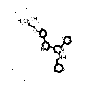 CN(C)CCOc1cccc(-c2cncc(-c3cc(NCc4ccccc4)nc(-c4ccccn4)c3)c2)c1